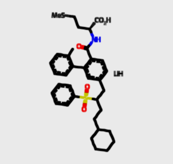 CSCC[C@H](NC(=O)c1ccc(CC(CCC2CCCCC2)S(=O)(=O)c2ccccc2)cc1-c1ccccc1C)C(=O)O.[LiH]